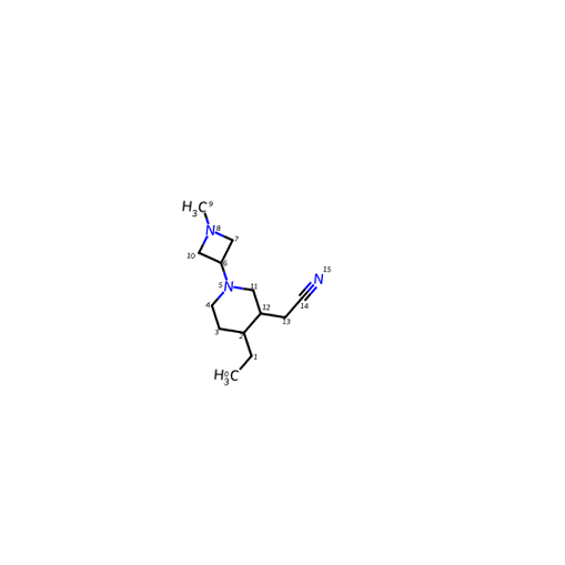 CCC1CCN(C2CN(C)C2)CC1CC#N